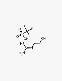 N#CCCN=C(N)S.O=S(=O)(O)C(F)(F)F